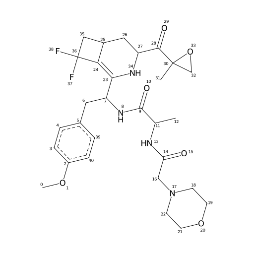 COc1ccc(CC(NC(=O)C(C)NC(=O)CN2CCOCC2)C2=C3C(CC(C(=O)C4(C)CO4)N2)CC3(F)F)cc1